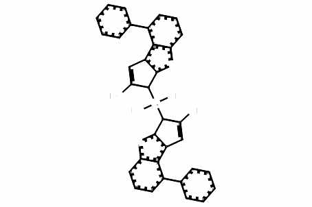 CC1=Cc2c(sc3cccc(-c4ccccc4)c23)C1[Si](C)(C)C1C(C)=Cc2c1sc1cccc(-c3ccccc3)c21